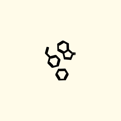 C=Cc1ccccc1.c1ccc2[nH]ccc2c1.c1ccccc1